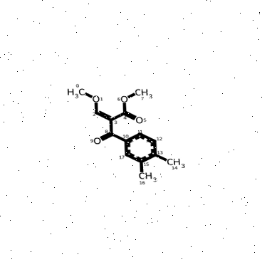 CO/C=C(\C(=O)OC)C(=O)c1ccc(C)c(C)c1